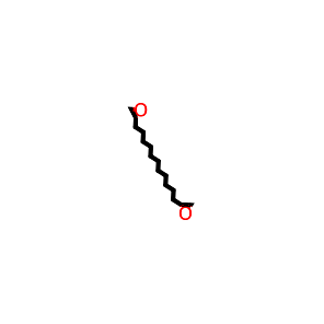 C(CCCCCC1CO1)CCCCCC1CO1